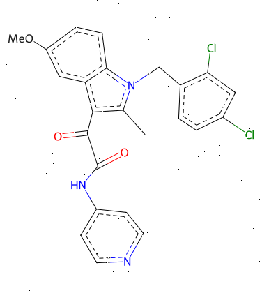 COc1ccc2c(c1)c(C(=O)C(=O)Nc1ccncc1)c(C)n2Cc1ccc(Cl)cc1Cl